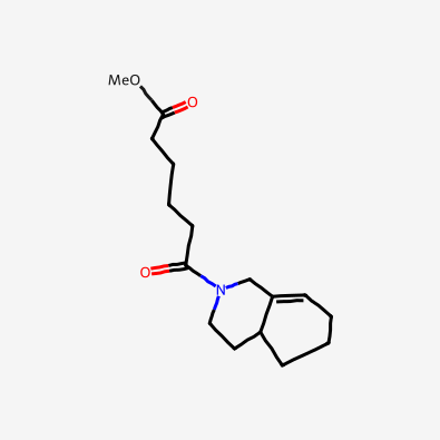 COC(=O)CCCCC(=O)N1CCC2CCCC=C2C1